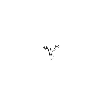 NN.O.[K+].[OH-]